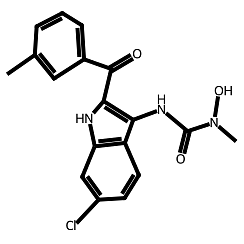 Cc1cccc(C(=O)c2[nH]c3cc(Cl)ccc3c2NC(=O)N(C)O)c1